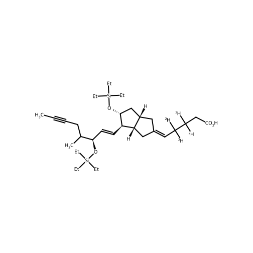 [2H]C([2H])(/C=C1\C[C@H]2C[C@@H](O[Si](CC)(CC)CC)[C@H](/C=C/[C@@H](O[Si](CC)(CC)CC)C(C)CC#CC)[C@H]2C1)C([2H])([2H])CC(=O)O